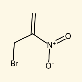 C=C(CBr)[N+](=O)[O-]